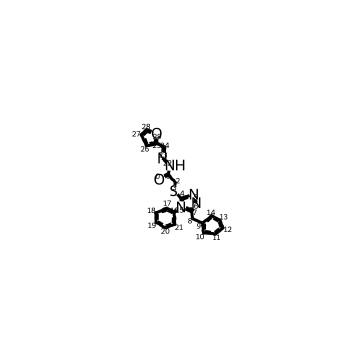 O=C(CSc1nnc(Cc2ccccc2)n1-c1ccccc1)NN=Cc1ccco1